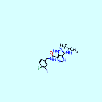 CC(C)Nc1n[nH]c2c(C(=O)NCc3ccc(F)c(I)c3)ncnc12